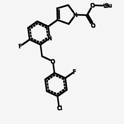 CC(C)(C)OC(=O)N1CC=C(c2ccc(F)c(COc3ccc(Cl)cc3F)n2)C1